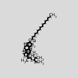 CCCCCCCCCCCCCCCC(=O)O[C@H]1CC[C@@]2(C)[C@@H](CC[C@@H]3[C@@H]2CC[C@]2(C)[C@@H]([C@H](C)CC[C@@H](CC)C(C)C)CC[C@@H]32)C1